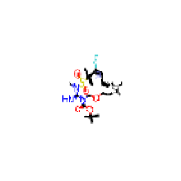 C=C/C=C(/F)C(C)(C)S(=O)(=O)N(C)C(=N)N(COCC[Si](C)(C)C)C(=O)OC(C)(C)C